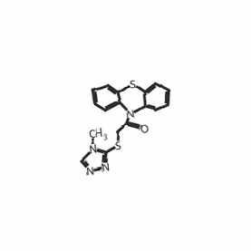 Cn1cnnc1SCC(=O)N1c2ccccc2Sc2ccccc21